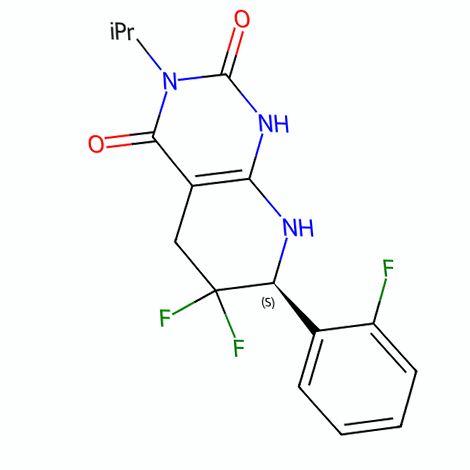 CC(C)n1c(=O)[nH]c2c(c1=O)CC(F)(F)[C@H](c1ccccc1F)N2